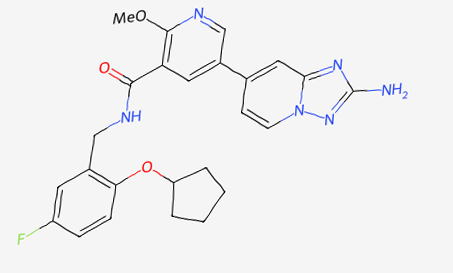 COc1ncc(-c2ccn3nc(N)nc3c2)cc1C(=O)NCc1cc(F)ccc1OC1CCCC1